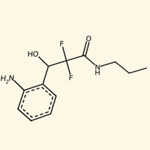 CCCNC(=O)C(F)(F)C(O)c1ccccc1N